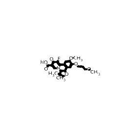 COCCCOc1cc2c(cc1OC)-c1c(F)c(=O)c(C(=O)O)cn1C1C2OCC1(C)C